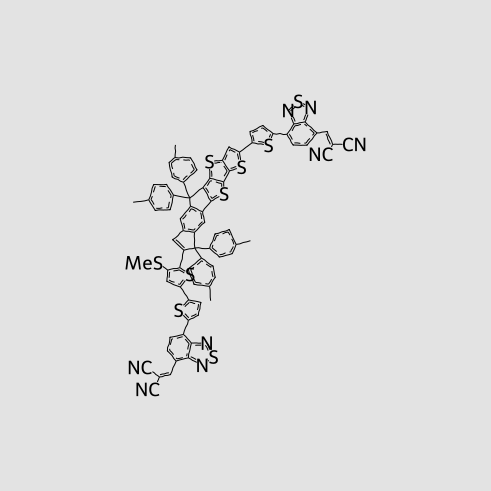 CSc1cc(-c2ccc(-c3ccc(C=C(C#N)C#N)c4nsnc34)s2)sc1C1=Cc2cc3c(cc2C1(c1ccc(C)cc1)c1ccc(C)cc1)-c1sc2c(sc4cc(-c5ccc(-c6ccc(C=C(C#N)C#N)c7nsnc67)s5)sc42)c1C3(c1ccc(C)cc1)c1ccc(C)cc1